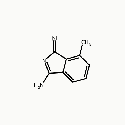 Cc1cccc2c1C(=N)N=C2N